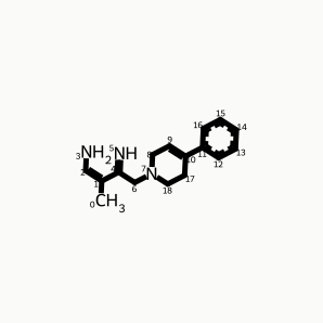 C/C(=C/N)C(=N)CN1CC=C(c2ccccc2)CC1